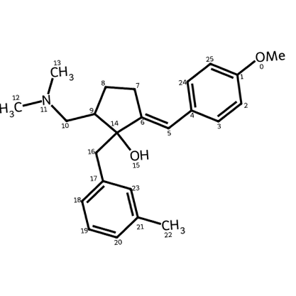 COc1ccc(/C=C2\CCC(CN(C)C)C2(O)Cc2cccc(C)c2)cc1